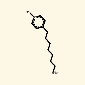 CCCCCCCCCCCCCCCCc1cc[n+](CCC)cc1